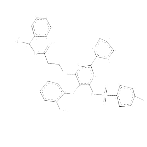 COc1ccccc1Oc1c(NS(=O)(=O)c2ccc(C(C)(C)C)cc2)nc(-c2ncccn2)nc1OCCC(=O)NC(C#N)c1ccccc1